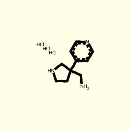 Cl.Cl.Cl.NCC1(c2ccncc2)CCNC1